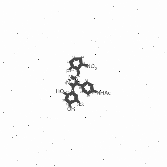 CCc1cc(-c2nnn(Cc3c(F)cccc3[N+](=O)[O-])c2-c2ccc(NC(C)=O)cc2)c(O)cc1O